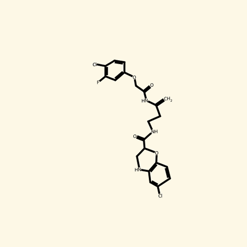 C=C(CCNC(=O)C1CNc2cc(Cl)ccc2O1)NC(=O)COc1ccc(Cl)c(F)c1